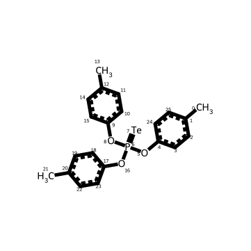 Cc1ccc(OP(=[Te])(Oc2ccc(C)cc2)Oc2ccc(C)cc2)cc1